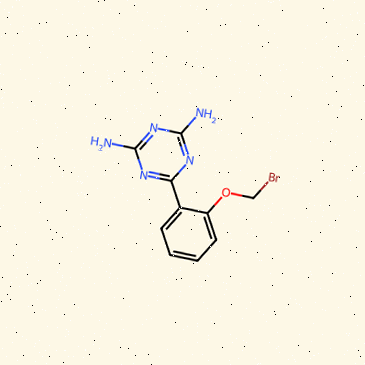 Nc1nc(N)nc(-c2ccccc2OCBr)n1